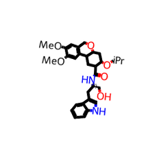 COc1cc2c(cc1OC)C1CC(C(=O)N[C@@H](CO)Cc3c[nH]c4ccccc34)C(OC(C)C)CC1OC2